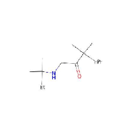 CCCC(C)(C)C(=O)CNC(C)(C)CC